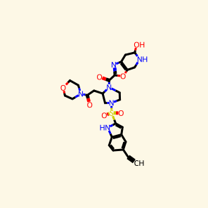 C#Cc1ccc2[nH]c(S(=O)(=O)N3CCN(C(=O)c4nc5c(o4)CNC(O)C5)C(CC(=O)N4CCOCC4)C3)cc2c1